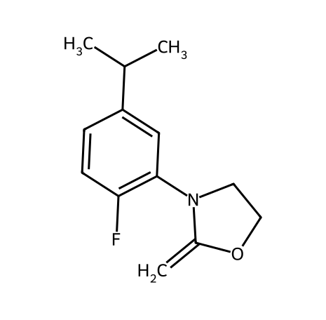 C=C1OCCN1c1cc(C(C)C)ccc1F